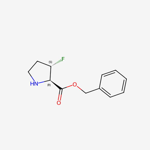 O=C(OCc1ccccc1)[C@H]1NCC[C@@H]1F